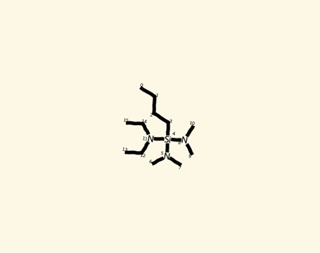 CCCC[Si](N(C)C)(N(C)C)N(CC)CC